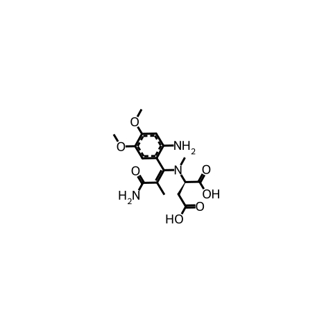 COc1cc(N)c(C(=C(C)C(N)=O)N(C)[C@H](CC(=O)O)C(=O)O)cc1OC